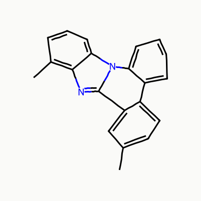 Cc1ccc2c3ccccc3n3c4cccc(C)c4nc3c2c1